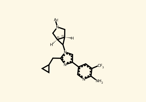 CC(=O)N1C[C@@H]2C(n3cc(-c4cnc(N)c(C(F)(F)F)c4)nc3CC3CC3)[C@@H]2C1